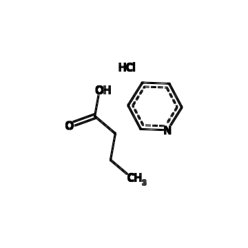 CCCC(=O)O.Cl.c1ccncc1